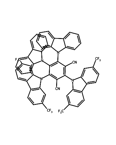 N#Cc1c(-n2c3cc(C(F)(F)F)ccc3c3ccc(C(F)(F)F)cc32)c(C#N)c(-n2c3cc(C(F)(F)F)ccc3c3ccc(C(F)(F)F)cc32)c(-n2c3ccccc3c3ccccc32)c1-n1c2ccccc2c2ccccc21